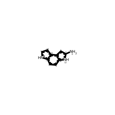 Nc1cc2c(ccc3[nH]ccc32)[nH]1